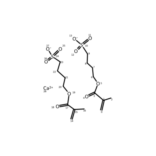 C=C(C)C(=O)OCCCCS(=O)(=O)[O-].C=C(C)C(=O)OCCCCS(=O)(=O)[O-].[Ca+2]